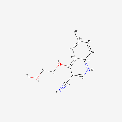 COCCOc1c(C#N)cnc2ccc(C)cc12